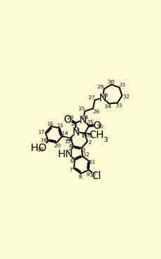 C[C@@]12Cc3c([nH]c4ccc(Cl)cc34)[C@@H](c3cccc(O)c3)N1C(=O)N(CCCN1CCCCCC1)C2=O